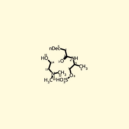 CCCCCCCCCCCC(=O)NC(C)COS(=O)(=O)O.CN(C)CCO